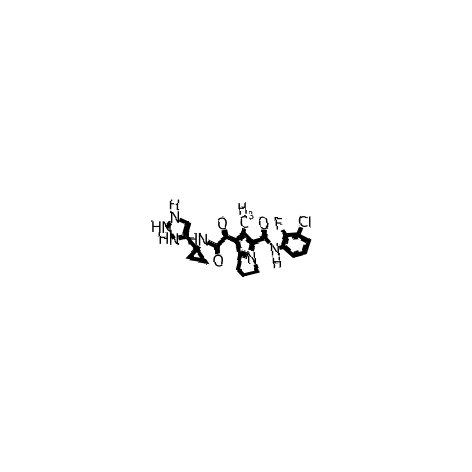 Cc1c(C(=O)C(=O)NC2(C3=CNNN3)CC2)c2n(c1C(=O)Nc1cccc(Cl)c1F)CCC2